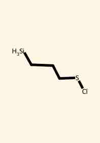 [SiH3]CCCSCl